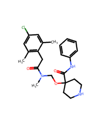 Cc1cc(Cl)cc(C)c1CC(=O)N(C)COC1(C(=O)Nc2ccccc2)CCNCC1